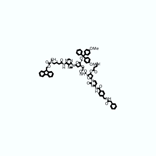 CCCOP(OC[C@H]1O[C@@H](n2ccc(NC(=O)c3ccc(CNC(=O)Cc4ccccc4)cc3)nc2=O)CC1OC(=O)CCC(C)=O)OC1C[C@H](n2cnc3c(NC(=O)CCCN(C)C(=O)OCC4c5ccccc5-c5ccccc54)ncnc32)O[C@@H]1COC(c1ccccc1)(c1ccc(OC)cc1)c1ccc(OC)cc1